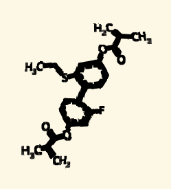 C=C(C)C(=O)Oc1ccc(-c2ccc(OC(=O)C(=C)C)cc2SCC)c(F)c1